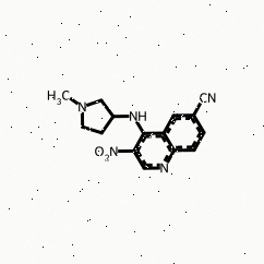 CN1CCC(Nc2c([N+](=O)[O-])cnc3ccc(C#N)cc23)C1